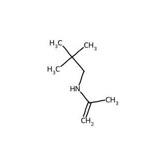 C=C(C)NCC(C)(C)C